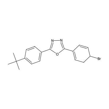 CC(C)(C)c1ccc(-c2nnc(C3=CCC(Br)C=C3)o2)cc1